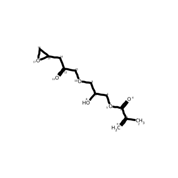 C=C(C)C(=O)OCC(O)COCC(=O)CC1CO1